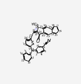 N#Cc1cccc(N(c2ccccc2)c2ccc(/C=C3\C(=O)c4cc5ccccc5cc4C3O)s2)c1